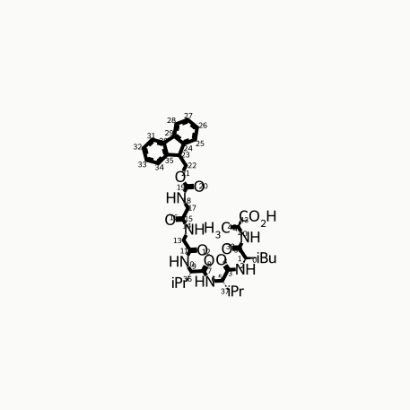 CC[C@H](C)[C@H](NC(=O)[C@@H](NC(=O)[C@@H](NC(=O)CNC(=O)CNC(=O)OCC1c2ccccc2-c2ccccc21)C(C)C)C(C)C)C(=O)N[C@@H](C)C(=O)O